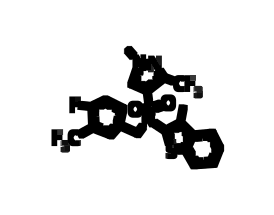 Cc1c(N(Cc2ccc(F)c(C(F)(F)F)c2)S(=O)(=O)c2cn(C)nc2C(F)(F)F)sc2ccccc12